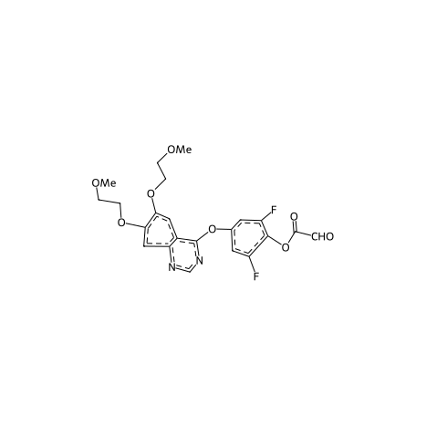 COCCOc1cc2ncnc(Oc3cc(F)c(OC(=O)C=O)c(F)c3)c2cc1OCCOC